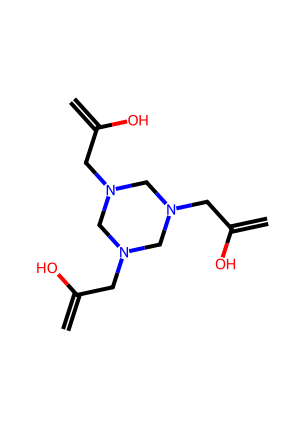 C=C(O)CN1CN(CC(=C)O)CN(CC(=C)O)C1